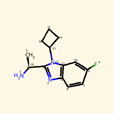 C[C@H](N)c1nc2ccc(F)cc2n1C1CCC1